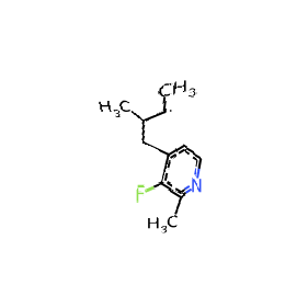 C[CH]C(C)Cc1ccnc(C)c1F